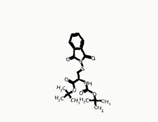 CC(C)(C)OC(=O)NC(CSN1C(=O)c2ccccc2C1=O)C(=O)OC(C)(C)C